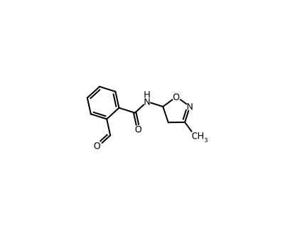 CC1=NOC(NC(=O)c2ccccc2C=O)C1